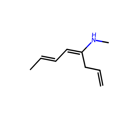 C=CC/C(=C\C=C\C)NC